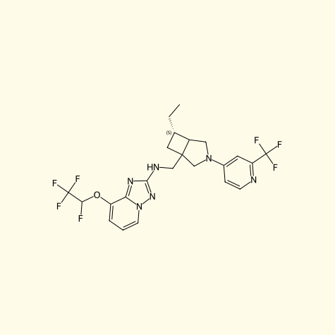 CC[C@H]1CC2(CNc3nc4c(OC(F)C(F)(F)F)cccn4n3)CN(c3ccnc(C(F)(F)F)c3)CC12